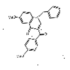 COc1ccc(C(=O)c2cn(Cc3ccccc3)c3ccc(OC)cc3c2=O)cc1